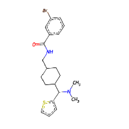 CN(C)C(c1cccs1)C1CCC(CNC(=O)c2cccc(Br)c2)CC1